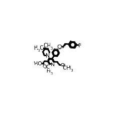 COCCc1nc(C)c(CC(=O)O)c(N2CCC(C)(C)CC2)c1-c1ccc(OCCc2ccc(F)cc2)cc1